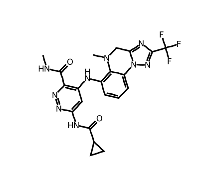 CNC(=O)c1nnc(NC(=O)C2CC2)cc1Nc1cccc2c1N(C)Cc1nc(C(F)(F)F)nn1-2